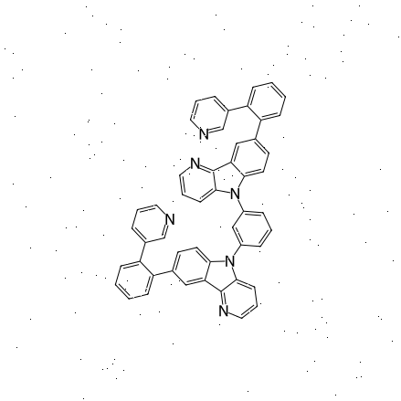 c1cncc(-c2ccccc2-c2ccc3c(c2)c2ncccc2n3-c2cccc(-n3c4ccc(-c5ccccc5-c5cccnc5)cc4c4ncccc43)c2)c1